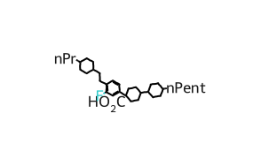 CCCCCC1CCC(C2CCC(C(=O)O)(c3ccc(CCC4CCC(CCC)CC4)c(F)c3)CC2)CC1